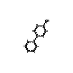 Oc1ccc(-c2[c]cccc2)cc1